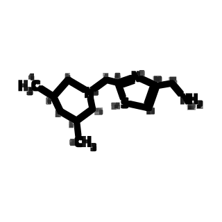 CC1CC(C)CN(Cc2nc(CN)cs2)C1